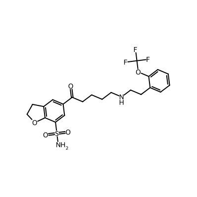 NS(=O)(=O)c1cc(C(=O)CCCCNCCc2ccccc2OC(F)(F)F)cc2c1OCC2